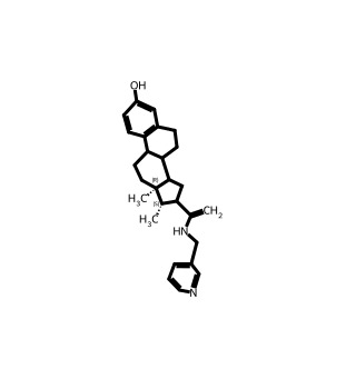 C=C(NCc1cccnc1)C1CC2C3CCc4cc(O)ccc4C3CC[C@]2(C)[C@H]1C